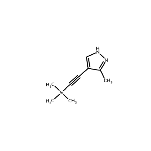 Cc1n[nH]cc1C#C[Si](C)(C)C